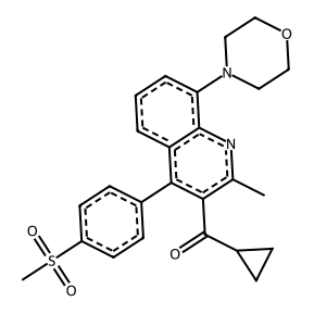 Cc1nc2c(N3CCOCC3)cccc2c(-c2ccc(S(C)(=O)=O)cc2)c1C(=O)C1CC1